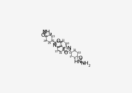 NNOC1CCC(C2=Nc3ccc4c5c(ccc(c35)O2)N=C(C2CCC(ON)CC2)O4)CC1